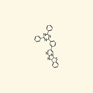 C1=NC2=NC3c4ccccc4SC3N2C=C1c1cccc(-c2nc(-c3ccccc3)nc(-c3ccccc3)n2)c1